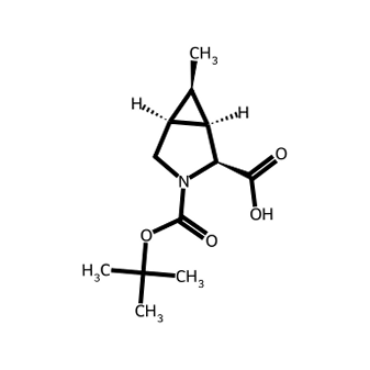 C[C@@H]1[C@@H]2CN(C(=O)OC(C)(C)C)[C@H](C(=O)O)[C@H]12